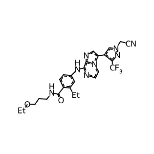 CCOCCCNC(=O)c1ccc(Nc2nccn3c(-c4cn(CC#N)nc4C(F)(F)F)cnc23)cc1CC